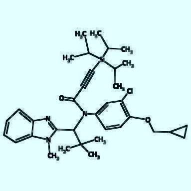 CC(C)[Si](C#CC(=O)N(c1ccc(OCC2CC2)c(Cl)c1)C(c1nc2ccccc2n1C)C(C)(C)C)(C(C)C)C(C)C